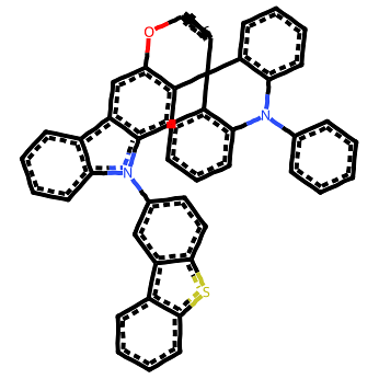 c1ccc(N2c3ccccc3C3(c4ccccc4Oc4cc5c6ccccc6n(-c6ccc7sc8ccccc8c7c6)c5cc43)c3ccccc32)cc1